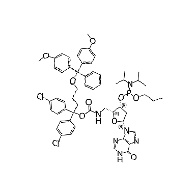 CCCOP(O[C@@H]1C[C@H](n2cnc3c(=O)[nH]cnc32)O[C@@H]1CNC(=O)OC(CCCOC(c1ccccc1)(c1ccc(OC)cc1)c1ccc(OC)cc1)(c1ccc(Cl)cc1)c1ccc(Cl)cc1)N(C(C)C)C(C)C